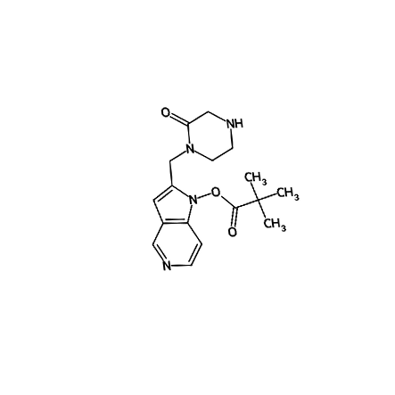 CC(C)(C)C(=O)On1c(CN2CCNCC2=O)cc2cnccc21